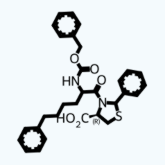 O=C(NC(CCCCc1ccccc1)C(=O)N1C(c2ccccc2)SC[C@H]1C(=O)O)OCc1ccccc1